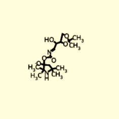 CC1(C)CC([O])(OC(=O)N=CC(O)C2COC(C)(C)O2)C(C)(C)N1